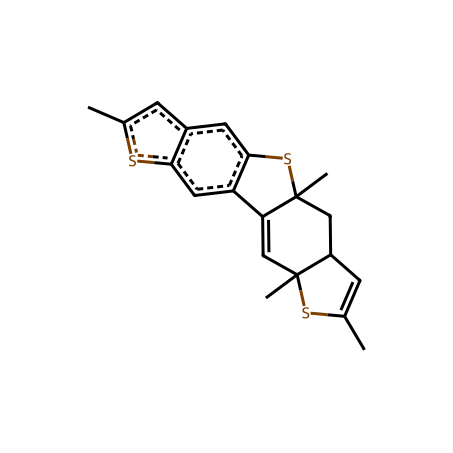 CC1=CC2CC3(C)Sc4cc5cc(C)sc5cc4C3=CC2(C)S1